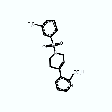 O=C(O)c1ncccc1C1=CCN(S(=O)(=O)c2cccc(C(F)(F)F)c2)CC1